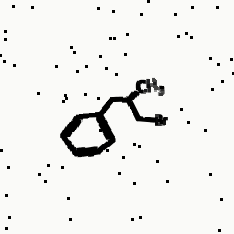 CC(CBr)Cc1ccccc1